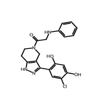 O=C(CNc1ccccc1)N1CCc2[nH]nc(-c3cc(Cl)c(O)cc3O)c2C1